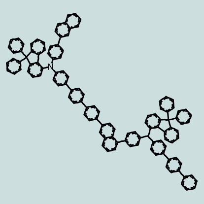 c1ccc(-c2ccc(-c3ccc(C(c4ccc(-c5cccc6cc(-c7ccc(-c8ccc(-c9ccc(N(c%10ccc(-c%11ccc%12ccccc%12c%11)cc%10)c%10cccc%11c%10-c%10ccccc%10C%11(c%10ccccc%10)c%10ccccc%10)cc9)cc8)cc7)ccc56)cc4)c4cccc5c4-c4ccccc4C5(c4ccccc4)c4ccccc4)cc3)cc2)cc1